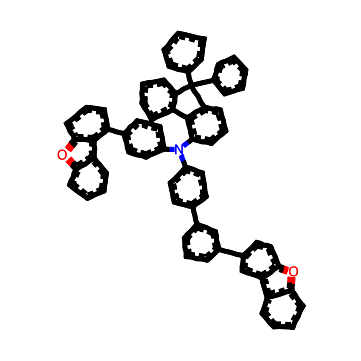 c1ccc(C2(c3ccccc3)c3ccccc3-c3c(N(c4ccc(-c5cccc(-c6ccc7oc8ccccc8c7c6)c5)cc4)c4ccc(-c5cccc6oc7ccccc7c56)cc4)cccc32)cc1